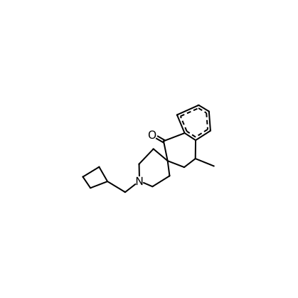 CC1CC2(CCN(CC3CCC3)CC2)C(=O)c2ccccc21